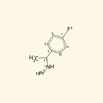 CCCNC(C)c1ccc(F)cc1